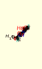 CCOc1cc(CNC(=O)[C@@]2(C3CC3)CCC(N3CCC(c4ccc(F)cc4)[C@H](C(=O)O)C3)CO2)cc(C(F)(F)F)c1